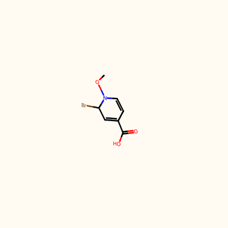 CON1C=CC(C(=O)O)=CC1Br